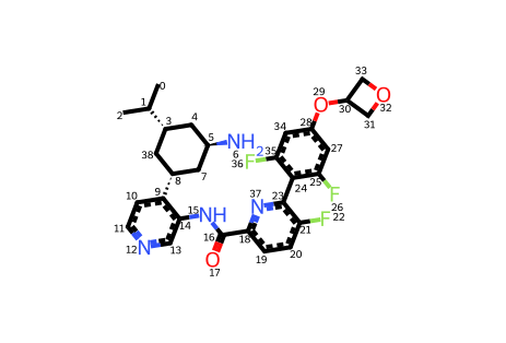 CC(C)[C@@H]1C[C@@H](N)C[C@H](c2ccncc2NC(=O)c2ccc(F)c(-c3c(F)cc(OC4COC4)cc3F)n2)C1